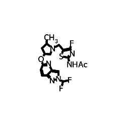 CC(=O)Nc1nc(F)c(CN2CC(Oc3ccc4nn(C(F)F)cc4n3)CC2C)s1